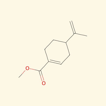 C=C(C)C1CC=C(C(=O)OC)CC1